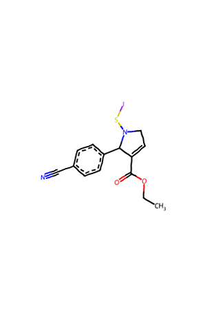 CCOC(=O)C1=CCN(SI)C1c1ccc(C#N)cc1